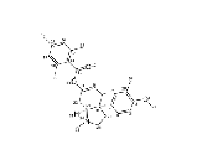 COc1ccc([C@@]23CC=C(OC(=O)c4c(C)cc(C)cc4C)C[C@@H]2N(C)CC3)cc1C